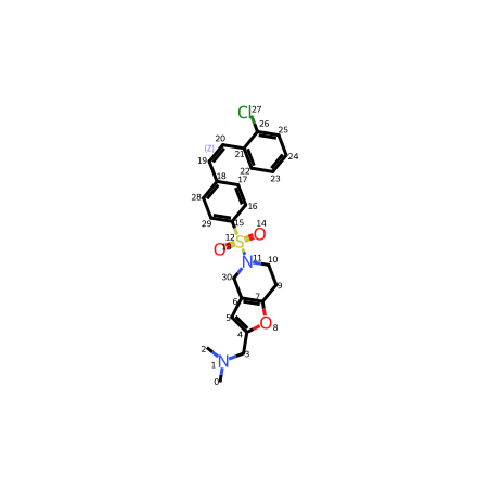 CN(C)Cc1cc2c(o1)CCN(S(=O)(=O)c1ccc(/C=C\c3ccccc3Cl)cc1)C2